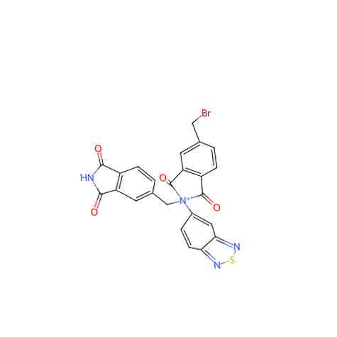 O=C1NC(=O)c2cc(C[N+]3(c4ccc5nsnc5c4)C(=O)c4ccc(CBr)cc4C3=O)ccc21